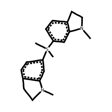 CN1CCc2ccc(S(C)(C)c3ccc4c(c3)N(C)CC4)cc21